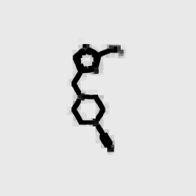 N#CB1CCN(Cc2cnc(N)s2)CC1